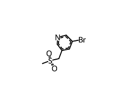 CS(=O)(=O)Cc1cncc(Br)c1